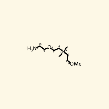 COCC[N+](C)(C)CCOCCN